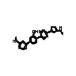 CNc1cc(-c2ccc(-c3cnc(N4CCC(NC)C4)nn3)c(O)c2)ncn1